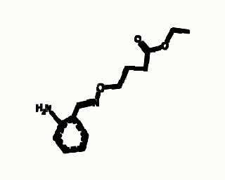 CCOC(=O)CCCON=Cc1ccccc1N